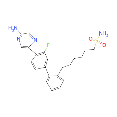 Nc1cnc(-c2ccc(-c3ccccc3CCCCCCS(N)(=O)=O)cc2F)cn1